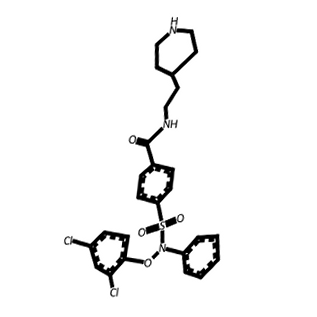 O=C(NCCC1CCNCC1)c1ccc(S(=O)(=O)N(Oc2ccc(Cl)cc2Cl)c2ccccc2)cc1